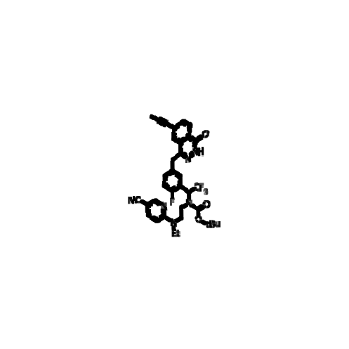 CC#Cc1ccc2c(=O)[nH]nc(Cc3ccc(F)c(C(N(CCN(CC)c4ccc(C#N)cn4)C(=O)OC(C)(C)C)C(F)(F)F)c3)c2c1